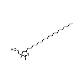 CCCCCCCCCCCCCCCCCCC1C[N+](C)(CCO)C(C)=N1